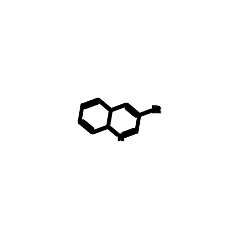 CCC1=CC2C=CC=CC2N=C1